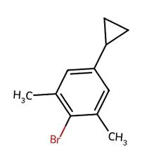 Cc1cc(C2CC2)cc(C)c1Br